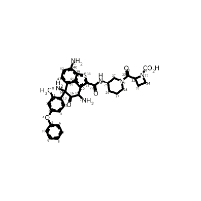 Cc1cc(Oc2ccccc2)ccc1C1(N)C(=O)C(N)c2c(C(=O)N[C@@H]3CCCN(C(=O)C4CCN4C(=O)O)C3)sc3c(N)ccc1c23